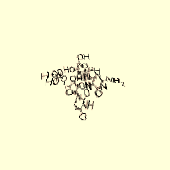 O=c1ccn([C@@H]2O[C@H](COP(=O)(O)O)[C@@H](O)[C@H]2O)c(=O)[nH]1.[2H]n1c(N)nc(=O)c2ncn([C@]3(F)O[C@H](CO)[C@@H](O)[C@H]3O)c21